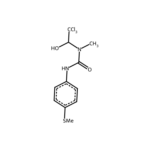 CSc1ccc(NC(=O)N(C)C(O)C(Cl)(Cl)Cl)cc1